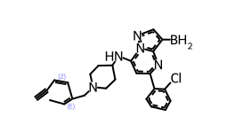 Bc1cnn2c(NC3CCN(CC(/C=C\C#C)=C/C)CC3)cc(-c3ccccc3Cl)nc12